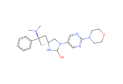 CN(C)[C@]1(c2ccccc2)C[C@@]2(CN(c3cnc(N4CCOCC4)nc3)C(O)N2)C1